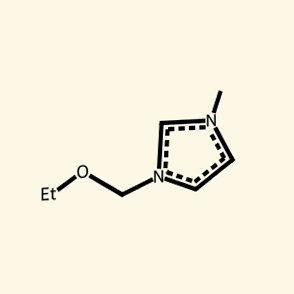 CCOC[n+]1ccn(C)c1